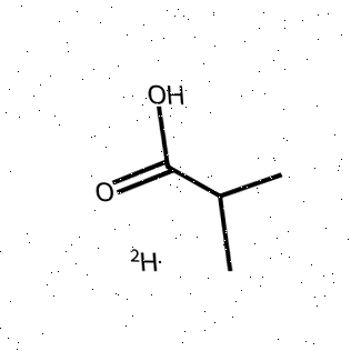 CC(C)C(=O)O.[2H]